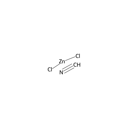 C#N.[Cl][Zn][Cl]